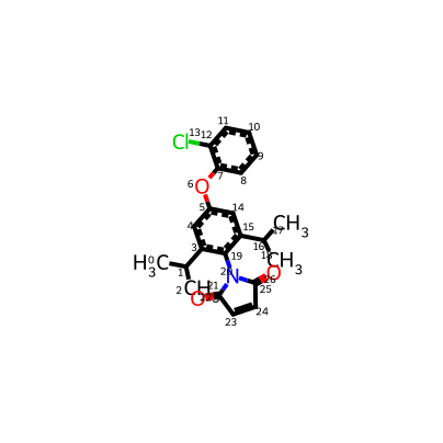 CC(C)c1cc(Oc2ccccc2Cl)cc(C(C)C)c1N1C(=O)C=CC1=O